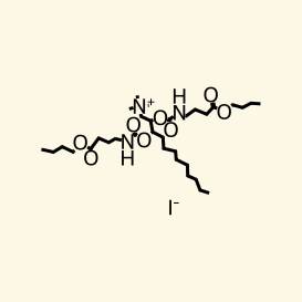 CCCCCCCCCC(OC(=O)NCCCC(=O)OCCCC)C(C[N+](C)(C)C)OC(=O)NCCCC(=O)OCCCC.[I-]